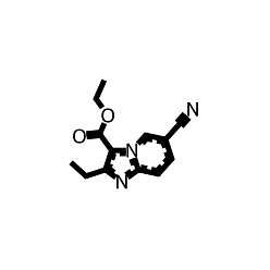 CCOC(=O)c1c(CC)nc2ccc(C#N)cn12